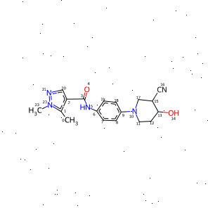 Cc1c(C(=O)Nc2ccc(N3CCC(O)C(C#N)C3)cc2)cnn1C